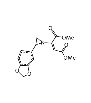 COC(=O)C=C(C(=O)OC)N1CC1c1ccc2c(c1)OCO2